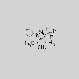 Cc1c(C(F)(F)F)nn(C2CCCC2)c1C(C)C